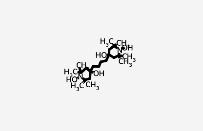 CC1(C)CC(O)(CCCCC2(O)CC(C)(C)N(O)C(C)(C)C2)CC(C)(C)N1O